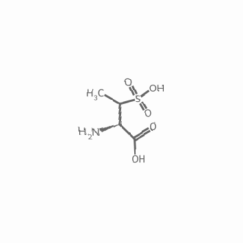 CC([C@H](N)C(=O)O)S(=O)(=O)O